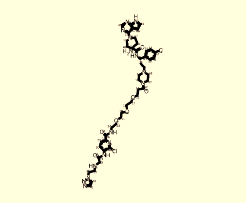 NC1(C(=O)N[C@@H](CCN2CCN(C(=O)CCOCCOCCOCCNC(=O)c3ccc(NC(=O)CNCCn4ccnn4)c(Cl)n3)CC2)c2ccc(Cl)cc2)CCN(c2ncnc3[nH]ccc23)CC1